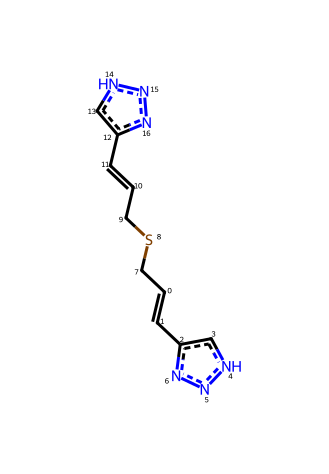 C(=Cc1c[nH]nn1)CSCC=Cc1c[nH]nn1